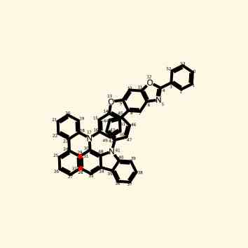 c1ccc(-c2nc3cc4c(cc3o2)oc2cc(N(c3ccccc3-c3ccccc3)c3cccc5c6ccccc6n(-c6ccccc6)c35)ccc24)cc1